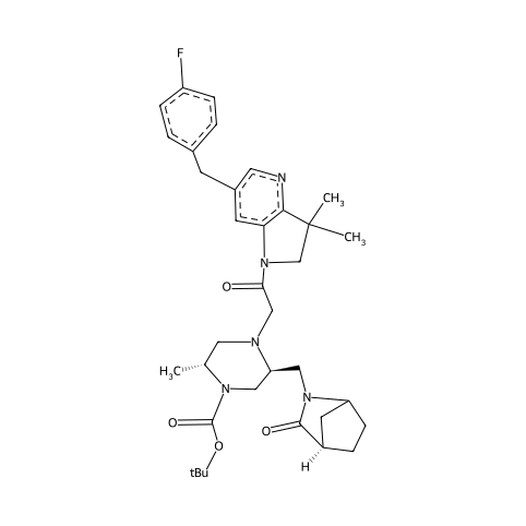 C[C@@H]1CN(CC(=O)N2CC(C)(C)c3ncc(Cc4ccc(F)cc4)cc32)[C@@H](CN2C(=O)[C@@H]3CCC2C3)CN1C(=O)OC(C)(C)C